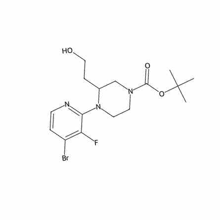 CC(C)(C)OC(=O)N1CCN(c2nccc(Br)c2F)C(CCO)C1